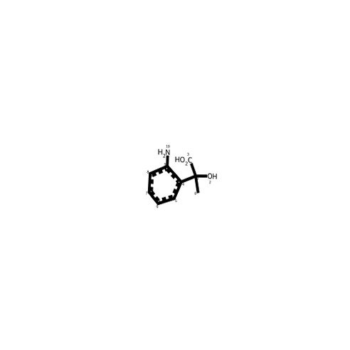 CC(O)(C(=O)O)c1ccccc1N